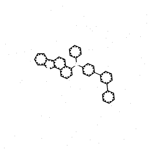 c1ccc(-c2cccc(-c3ccc(N(c4ccccc4)c4cccc5c4ccc4c6ccccc6sc54)cc3)c2)cc1